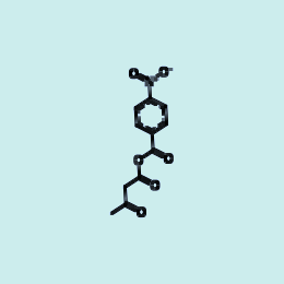 CC(=O)CC(=O)OC(=O)c1ccc([N+](=O)[O-])cc1